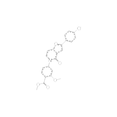 COC(=O)c1ccc(-n2ccc3oc(-c4ccc(Cl)cc4)cc3c2=O)cc1OC